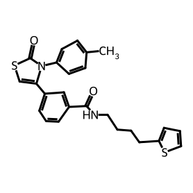 Cc1ccc(-n2c(-c3cccc(C(=O)NCCCCc4cccs4)c3)csc2=O)cc1